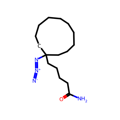 [N-]=[N+]=NC1(CCCCC(N)=O)CCCCCCCCCC1